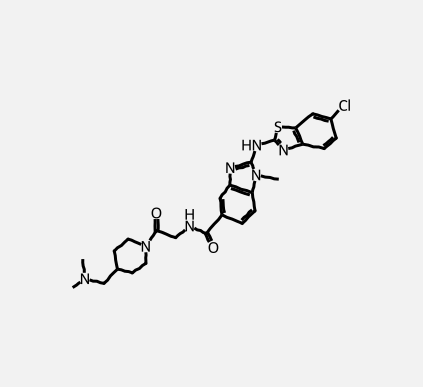 CN(C)CC1CCN(C(=O)CNC(=O)c2ccc3c(c2)nc(Nc2nc4ccc(Cl)cc4s2)n3C)CC1